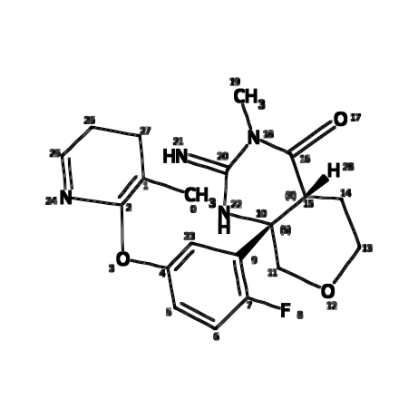 CC1=C(Oc2ccc(F)c([C@]34COCC[C@H]3C(=O)N(C)C(=N)N4)c2)N=CCC1